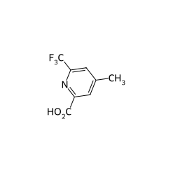 Cc1cc(C(=O)O)nc(C(F)(F)F)c1